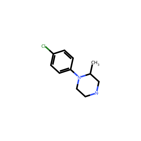 CC1C[N]CCN1c1ccc(Cl)cc1